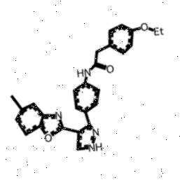 CCOc1ccc(CC(=O)Nc2ccc(-c3n[nH]cc3-c3nc4cc(C)ccc4o3)cc2)cc1